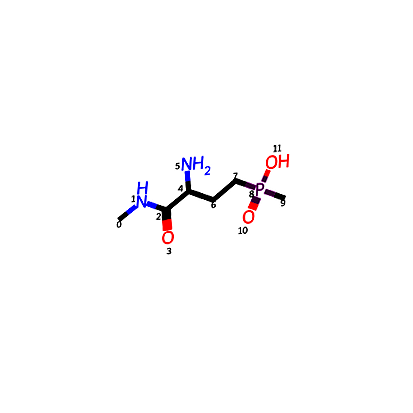 CNC(=O)C(N)CCP(C)(=O)O